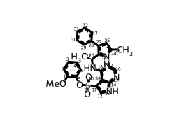 COc1ccccc1OS(=O)(=O)c1c[nH]c2ncnc(N[C@@H](C)c3[nH]c(C)cc3-c3ccccc3)c12